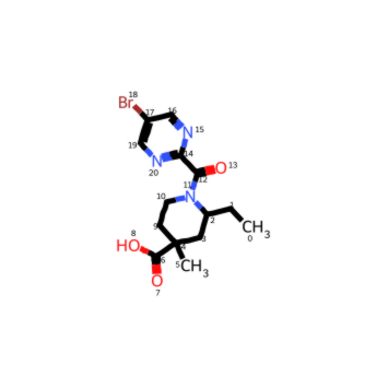 CCC1CC(C)(C(=O)O)CCN1C(=O)c1ncc(Br)cn1